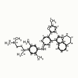 Cc1nnc(-c2cnc(Nc3cc(N)c(N(C)CCN(C)C)cc3C)nc2-c2cn3c4c(cccc24)CCC3)o1